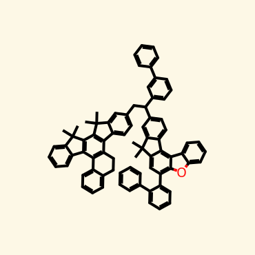 CC1(C)c2cc(C(Cc3ccc4c(c3)C(C)(C)c3c-4c4c(c5c3C(C)(C)c3ccccc3-5)-c3ccccc3CC4)c3cccc(-c4ccccc4)c3)ccc2-c2c1cc(-c1ccccc1-c1ccccc1)c1oc3ccccc3c21